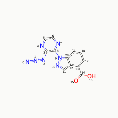 [N-]=[N+]=Nc1nccnc1-n1ncc2c(C(=O)O)cccc21